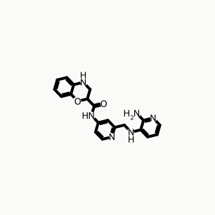 Nc1ncccc1NCc1cc(NC(=O)C2CNc3ccccc3O2)ccn1